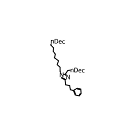 CCCCCCCCCCCCCCCCCCCn1cc(CCCc2ccccc2)nc1CCCCCCCCCCC